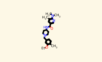 CCOc1cc(CN2CCC(NC(=O)c3cnc(N(C)C)c(C)c3)CC2)ccc1C